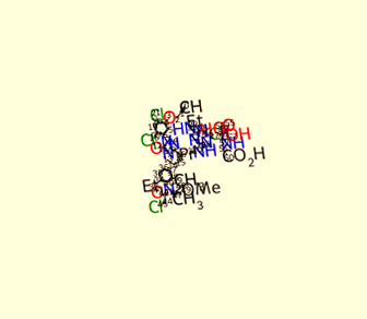 C#CCOc1cc(-n2nc3n(c2=O)CCCC3)c(Cl)cc1Cl.CCNc1nc(Cl)nc(NC(C)C)n1.CCc1cccc(C)c1N(C(=O)CCl)C(C)COC.O=C(O)CNCP(=O)(O)O